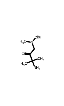 CN(CC(=O)C(C)(C)N)C(C)(C)C